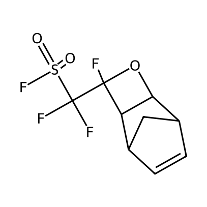 O=S(=O)(F)C(F)(F)C1(F)OC2C3C=CC(C3)C21